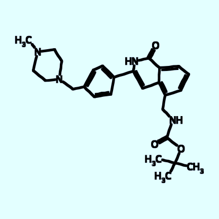 CN1CCN(Cc2ccc(-c3cc4c(CNC(=O)OC(C)(C)C)cccc4c(=O)[nH]3)cc2)CC1